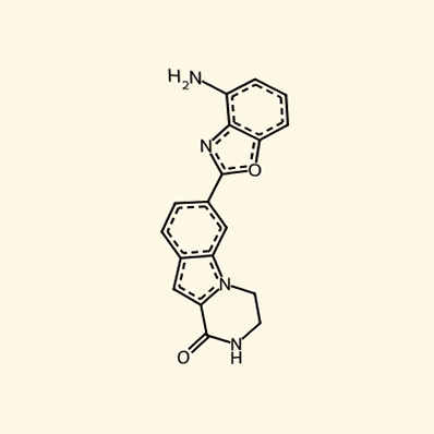 Nc1cccc2oc(-c3ccc4cc5n(c4c3)CCNC5=O)nc12